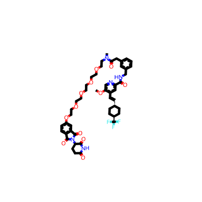 COc1cnc(C(=O)NCc2cccc(CC(=O)N(C)CCOCCOCCOCCOCCOc3ccc4c(c3)C(=O)N(C3CCC(=O)NC3=O)C4=O)c2)cc1/C=C/[C@H]1CC[C@H](C(F)(F)F)CC1